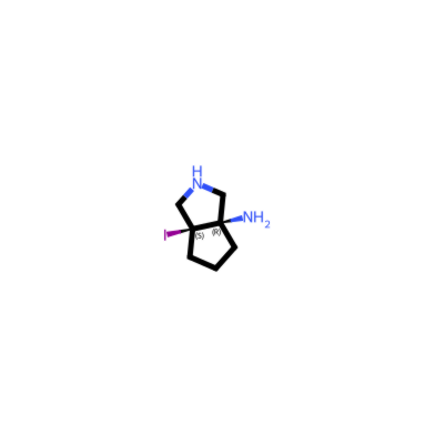 N[C@@]12CCC[C@]1(I)CNC2